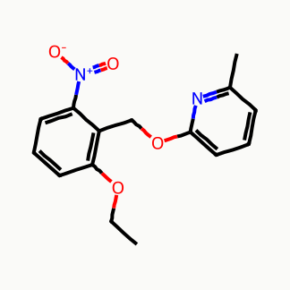 CCOc1cccc([N+](=O)[O-])c1COc1cccc(C)n1